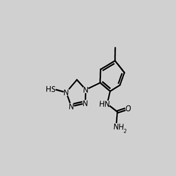 Cc1ccc(NC(N)=O)c(N2CN(S)N=N2)c1